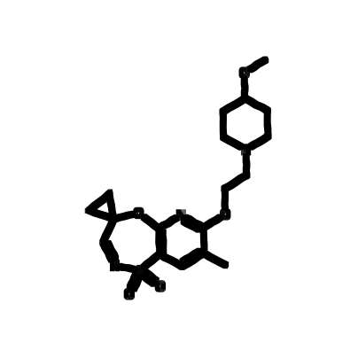 COC1CCN(CCOc2nc3c(cc2C)S(=O)(=O)N=CC2(CC2)O3)CC1